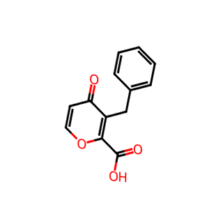 O=C(O)c1occc(=O)c1Cc1ccccc1